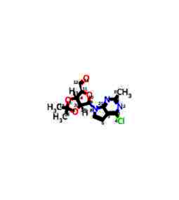 Cc1nc(Cl)c2ccn([C@@H]3O[C@H](C=O)[C@H]4OC(C)(C)O[C@H]43)c2n1